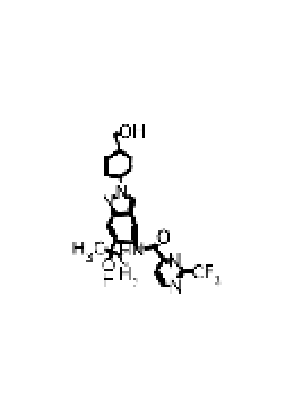 CC(C)(O)c1cc2nn([C@H]3CC[C@H](CO)CC3)cc2cc1NC(=O)c1ccnc(C(F)(F)F)n1